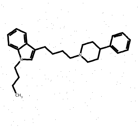 CCCCn1cc(CCCCN2CCC(c3ccccc3)CC2)c2ccccc21